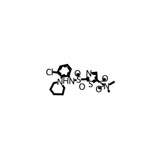 CN(C)S(=O)(=O)c1cnc(S(=O)(=O)Nc2cccc(Cl)c2N2CCCCC2)s1